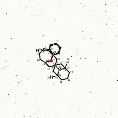 Nc1ccccc1N[C@H]1C[C@H]2CCC[C@@H](C1)N2C1CC2CCCCC(C2)C1